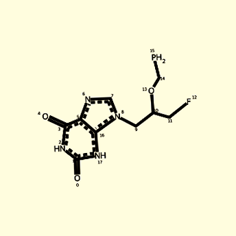 O=c1[nH]c(=O)c2ncn(CC(CF)OCP)c2[nH]1